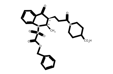 C[C@@H]1[C@H](CCC(=O)N2CCC(C(=O)O)CC2)C(=O)c2ccccc2N1S(=O)(=O)C(=O)OCc1ccccc1